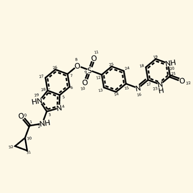 O=C(Nc1nc2cc(OS(=O)(=O)c3ccc(/N=c4\cc[nH]c(=O)[nH]4)cc3)ccc2[nH]1)C1CC1